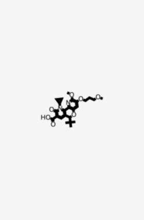 COCCCOc1cc2c(nc1OC)-c1c(cc(C(=O)O)c(=O)n1C1CC1)C(C(C)(C)C)O2